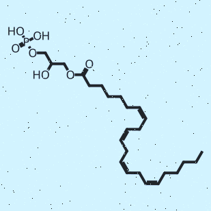 CCCCC/C=C\C/C=C\C/C=C\C/C=C\CCCCCC(=O)OCC(O)COP(=O)(O)O